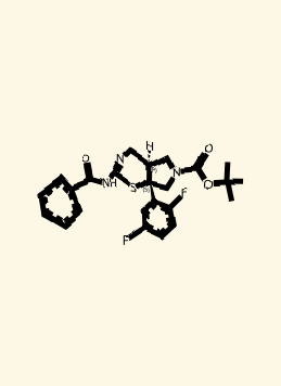 CC(C)(C)OC(=O)N1C[C@@H]2CN=C(NC(=O)c3ccccc3)S[C@@]2(c2cc(F)ccc2F)C1